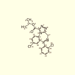 CC(C)OC(=O)c1nnc2n1-c1ccc(Cl)cc1C(c1ccccc1Cl)=NC2